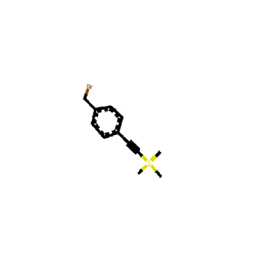 CS(C)(C)C#Cc1ccc(CBr)cc1